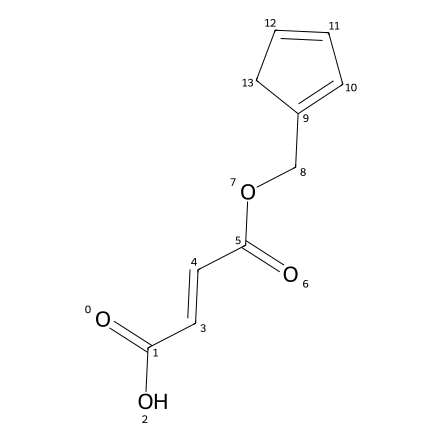 O=C(O)C=CC(=O)OCC1=CC=CC1